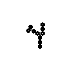 c1ccc(-c2ccc(-c3ccc(N(c4ccc(-c5ccc(-n6c7ccccc7c7ccccc76)cc5)cc4)c4cccc(-c5ccc(-c6ccccc6)cc5)c4)cc3)cc2)cc1